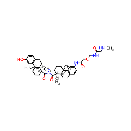 CNCC(=O)NCOCC(=O)Nc1ccc2c(c1)[C@@]1(C)CCC[C@](C)(C(=O)NC(=O)[C@@]3(C)CCC[C@]4(C)c5cc(O)ccc5CC[C@@H]34)[C@@H]1CC2